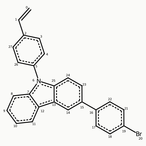 C=Cc1ccc(-n2c3ccccc3c3cc(-c4ccc(Br)cc4)ccc32)cc1